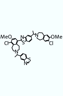 COc1cc2c(cc1Cl)CCN(C(C)c1ccc3sc(-c4cc(OC)c(Cl)c5c4CCN(C(C)c4ccc6scnc6c4)CC5)nc3c1)CC2